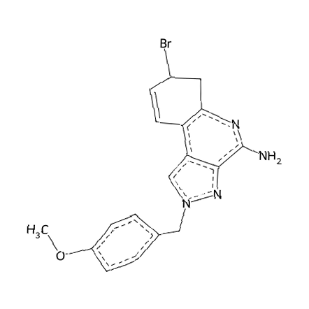 COc1ccc(Cn2cc3c4c(nc(N)c3n2)CC(Br)C=C4)cc1